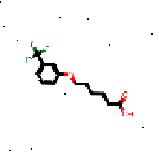 O=C(O)CCCCCOc1cccc(C(F)(F)F)c1